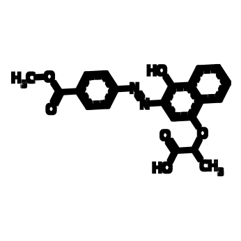 COC(=O)c1ccc(N=Nc2cc(OC(C)C(=O)O)c3ccccc3c2O)cc1